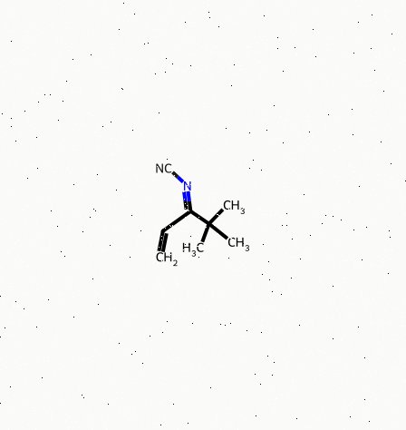 C=C/C(=N\C#N)C(C)(C)C